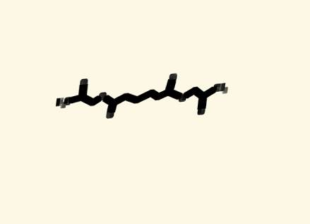 CC(=O)COC(=O)CCCCC(=O)OCC(C)=O